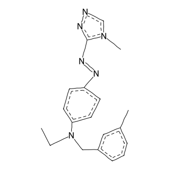 CCN(Cc1cccc(C)c1)c1ccc(/N=N/c2nncn2C)cc1